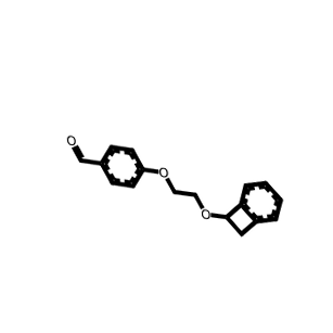 O=Cc1ccc(OCCOC2Cc3ccccc32)cc1